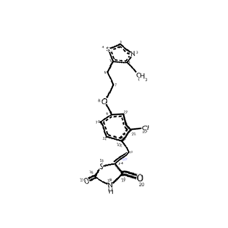 Cc1ncsc1CCOc1ccc(/C=C2\SC(=O)NC2=O)c(Cl)c1